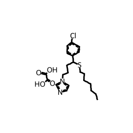 CCCCCCCSC(CCCn1ccnc1)c1ccc(Cl)cc1.O=C(O)C(=O)O